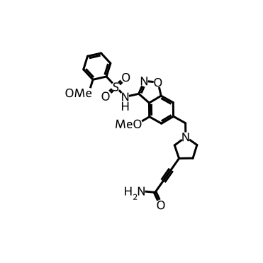 COc1ccccc1S(=O)(=O)Nc1noc2cc(CN3CCC(C#CC(N)=O)C3)cc(OC)c12